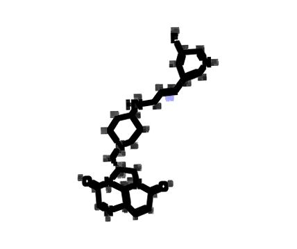 O=c1ccc2ncc(=O)n3c2n1C[C@H]3CN1CCC(NC/C=C/c2cncc(F)c2)CC1